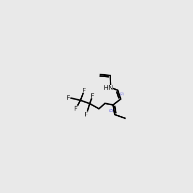 C=CN/C=C\C(=C/C)CCC(F)(F)C(F)(F)F